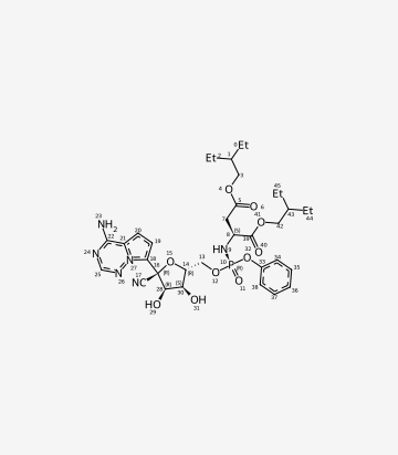 CCC(CC)COC(=O)C[C@H](N[P@@](=O)(OC[C@H]1O[C@@](C#N)(c2ccc3c(N)ncnn23)[C@H](O)[C@@H]1O)Oc1ccccc1)C(=O)OCC(CC)CC